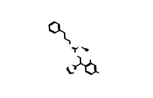 N#CNC(=NCCCc1ccccc1)NCC(c1ncc[nH]1)c1ccc(Cl)cc1Cl